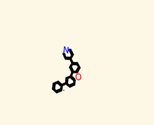 [c]1ccccc1-c1ccc2oc3ccc(-c4ccncc4)cc3c2c1